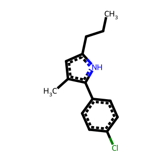 CCCc1cc(C)c(-c2ccc(Cl)cc2)[nH]1